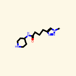 [CH2]n1cc(CCCC(=O)NC2CCNCC2)nn1